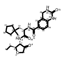 CC[C@@H]1OCC(=O)[C@H]1NC(=O)[C@H](CC1(C)CCCC1)NC(=O)c1ccc2c(c1)CNC(=O)N2